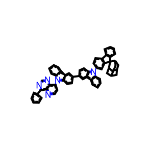 c1ccc(-c2ncnc3c(-n4c5ccccc5c5cc(-c6ccc7c(c6)c6ccccc6n7-c6ccc7c(c6)C6(c8ccccc8-7)C7CC8CC(C7)CC6C8)ccc54)ccnc23)cc1